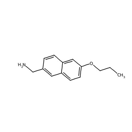 CCCOc1ccc2cc(CN)ccc2c1